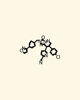 N#Cc1ccc(-c2c(-c3ccc(Cl)cc3)cnn3c(=O)n(Cc4ccc(-c5ccon5)cc4)nc23)cn1